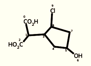 O=C(O)C(C(=O)O)C1CC(O)CC1Cl